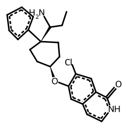 CCC(N)[C@]1(c2ccccc2)CC[C@H](Oc2cc3cc[nH]c(=O)c3cc2Cl)CC1